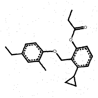 CCC(=O)Oc1cccc(C2CC2)c1COc1ccc(CC)cc1C